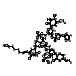 C#CCCCCC#Cc1cn([C@H]2C[C@@H](OP(=O)(O)OC[C@H]3O[C@@H](n4cc(C)c(=O)[nH]c4=O)C[C@H]3OP(=O)(O)OCc3ccco3)[C@@H](COP(=O)(O)C[C@@H]3C[C@H](n4ccc(N)nc4=O)O[C@@H]3COP(=O)(O)O)O2)c(=O)[nH]c1=O